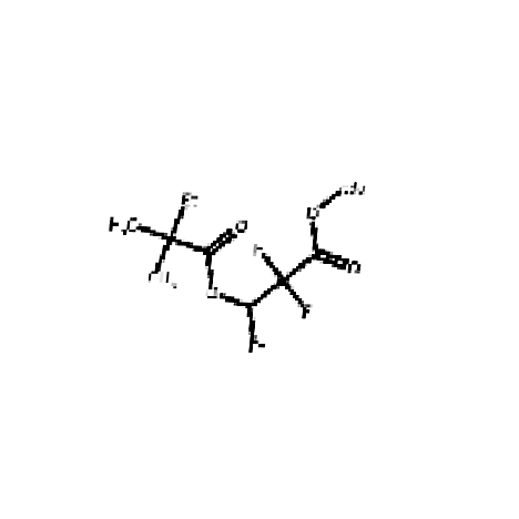 CCC(OC(=O)C(C)(C)CC)C(F)(F)C(=O)OC(C)(C)C